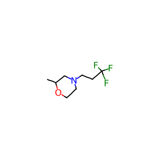 CC1CN(CCC(F)(F)F)CCO1